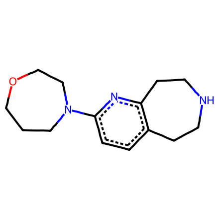 c1cc2c(nc1N1CCCOCC1)CCNCC2